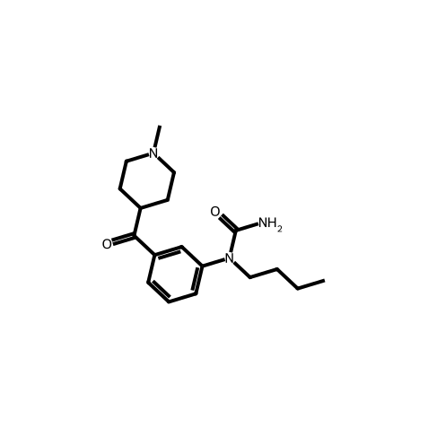 CCCCN(C(N)=O)c1cccc(C(=O)C2CCN(C)CC2)c1